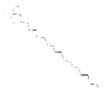 CO[Si](CCCCCCCCCCCCCCCCCCCS)(OC)OC